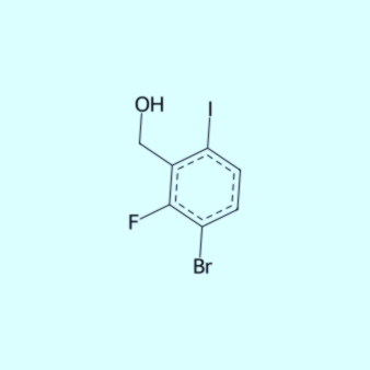 OCc1c(I)ccc(Br)c1F